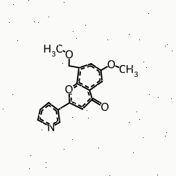 COCc1cc(OC)cc2c(=O)cc(-c3cccnc3)oc12